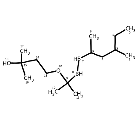 CCC(C)CC(C)BBC(C)(C)OCCC(C)(C)O